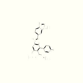 Cc1cc2nc(-c3ccc4nc[nH]c4c3)sc2c(-c2ccc(Cl)cc2)c1[C@H](OC(C)(C)C)C(=O)O